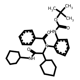 CC(C)(C)OC(=O)Nc1ccccc1N(C(=O)c1ccccc1)C(C(=O)NC1CCCCC1)C1CCCCC1